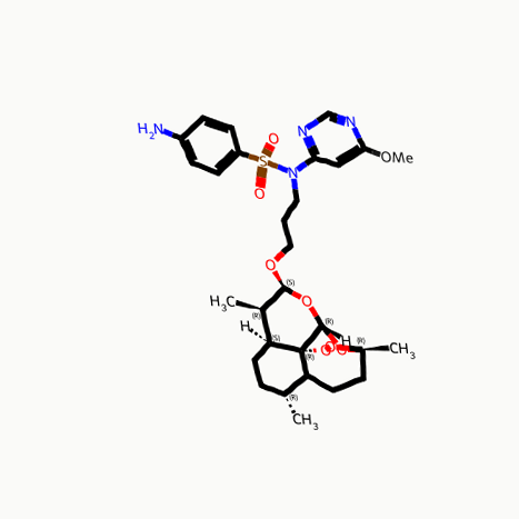 COc1cc(N(CCCO[C@H]2O[C@@H]3O[C@@]4(C)CCC5[C@H](C)CC[C@@H]([C@H]2C)[C@]53OO4)S(=O)(=O)c2ccc(N)cc2)ncn1